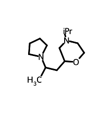 CC(C)N1CCOC(CC(C)N2CCCC2)C1